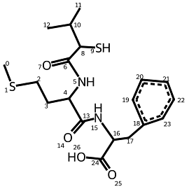 CSCCC(NC(=O)C(S)C(C)C)C(=O)NC(Cc1ccccc1)C(=O)O